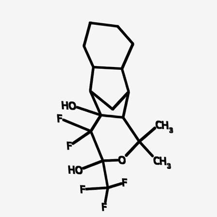 CC1(C)OC(O)(C(F)(F)F)C(F)(F)C2(O)C3CC(C4CCCCC43)C12